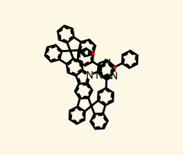 c1ccc(-c2nc(-c3ccccc3)nc(-c3ccc4c(c3)C3(c5ccccc5-4)c4ccccc4-c4cc5c6cc7c(cc6n(-c6ccccc6)c5cc43)C3(c4ccccc4-c4ccccc43)c3ccccc3-7)n2)cc1